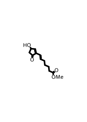 COC(=O)CCCCC=CC1=CC(O)CC1=O